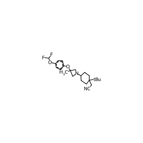 CC1(Oc2ccc(OC(F)F)cc2)CN(C2CCC(CC#N)(C(C)(C)C)CC2)C1